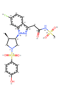 C[C@@H]1CN(S(=O)(=O)c2ccc(O)cc2)C[C@@H]1n1nc(CC(=O)NS(C)(=O)=O)c2ccc(F)cc21